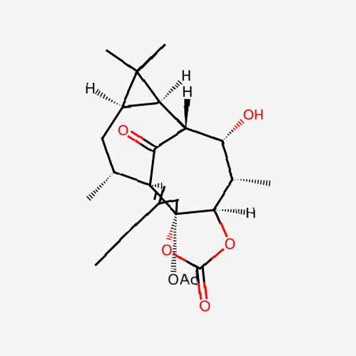 CC(=O)O[C@H]1C(C)=C[C@]23C(=O)[C@@H]([C@H](O)[C@H](C)[C@H]4OC(=O)O[C@@]412)[C@H]1[C@@H](C[C@H]3C)C1(C)C